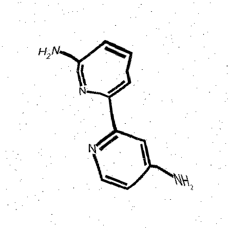 Nc1ccnc(-c2cccc(N)n2)c1